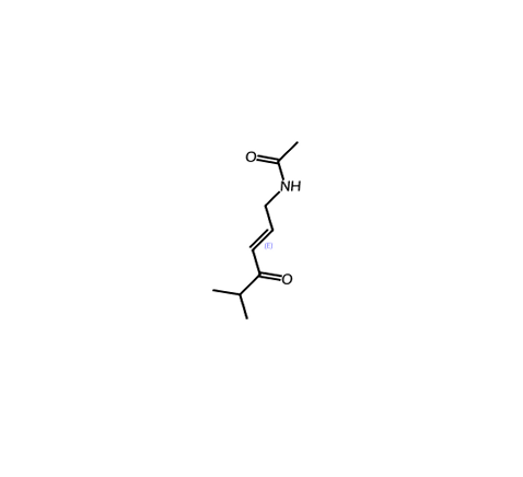 CC(=O)NC/C=C/C(=O)C(C)C